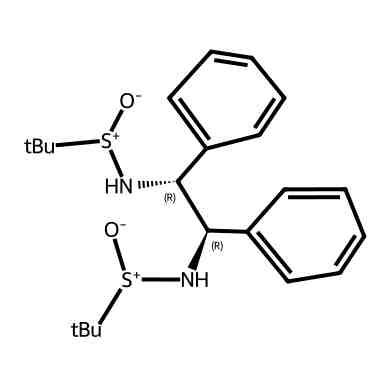 CC(C)(C)[S+]([O-])N[C@H](c1ccccc1)[C@H](N[S+]([O-])C(C)(C)C)c1ccccc1